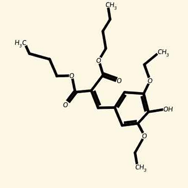 CCCCOC(=O)C(=Cc1cc(OCC)c(O)c(OCC)c1)C(=O)OCCCC